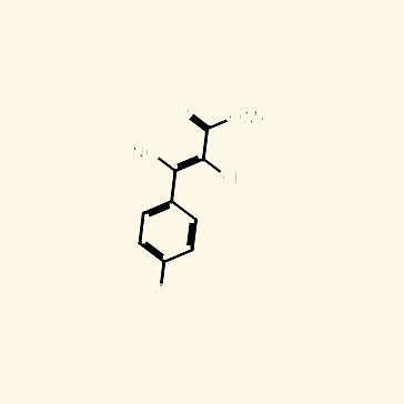 COC(=O)/C(C)=C(\C#N)c1ccc(Cl)cc1